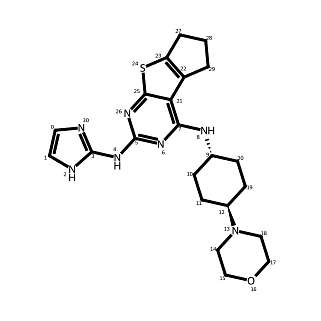 c1c[nH]c(Nc2nc(N[C@H]3CC[C@H](N4CCOCC4)CC3)c3c4c(sc3n2)CCC4)n1